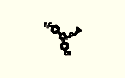 N#Cc1ccc(N2CC(c3ccc(C(F)(F)F)cc3)C[C@H]2COCC2CC2)cc1